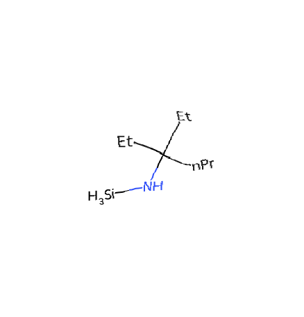 CCCC(CC)(CC)N[SiH3]